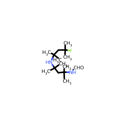 CC(C)(F)CC(C)(C)NC(C)(C)CC(C)(C)NC=O